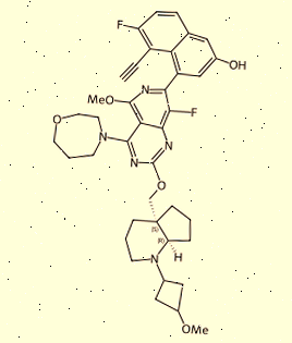 C#Cc1c(F)ccc2cc(O)cc(-c3nc(OC)c4c(N5CCCOCC5)nc(OC[C@]56CCC[C@H]5N(C5CC(OC)C5)CCC6)nc4c3F)c12